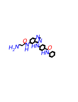 NCCC(=O)Nc1ccc2ncnc(Nc3ccc(C(=O)Nc4ccccc4)cc3)c2c1